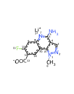 Cn1ncc2c(N)nc3cc(F)c(C(=O)[O-])cc3c21.[Li+]